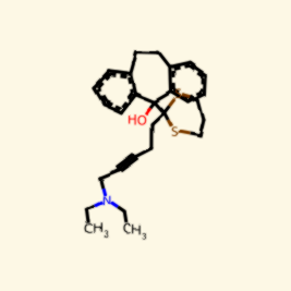 CCN(CC)CC#CCCC1(C2(O)c3ccccc3CCc3ccccc32)SCCCS1